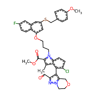 COC(=O)c1c(C)c2c(-c3c(C=O)nn4c3COCC4)c(Cl)ccc2n1CCCOc1cc(SCc2ccc(OC)cc2)cc2cc(F)ccc12